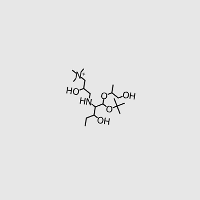 CCC(O)C(NCC(O)C[N+](C)(C)C)C(OC(C)CO)OC(C)(C)C